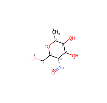 BCC1O[C@H](C)C(O)C(O)[C@@H]1N=O